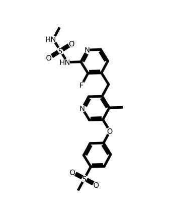 CNS(=O)(=O)Nc1nccc(Cc2cncc(Oc3ccc(S(C)(=O)=O)cc3)c2C)c1F